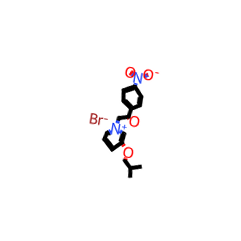 CC(C)COc1ccc[n+](CC(=O)c2ccc([N+](=O)[O-])cc2)c1.[Br-]